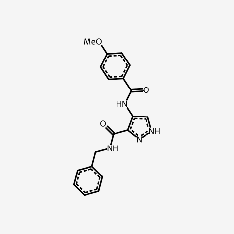 COc1ccc(C(=O)Nc2c[nH]nc2C(=O)NCc2ccccc2)cc1